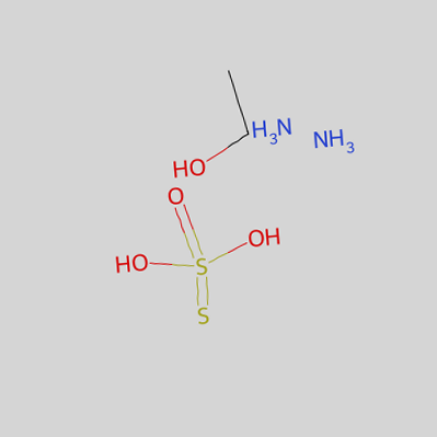 CCO.N.N.O=S(O)(O)=S